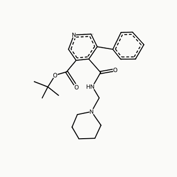 CC(C)(C)OC(=O)c1cn[c]c(-c2ccccc2)c1C(=O)NCN1CCCCC1